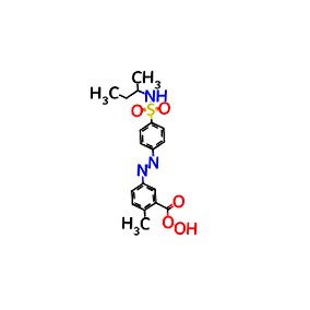 CCC(C)NS(=O)(=O)c1ccc(N=Nc2ccc(C)c(C(=O)OO)c2)cc1